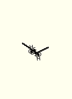 CCCCCCCCCCCC(C(=S)SSC(=S)C(CCCCCCCCCCC)[SH](=O)=O)[SH](=O)=O